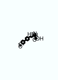 C[S+]([O-])c1ccc(-c2ccc(C=Cc3[nH]nnc3C(=O)O)cc2)cc1